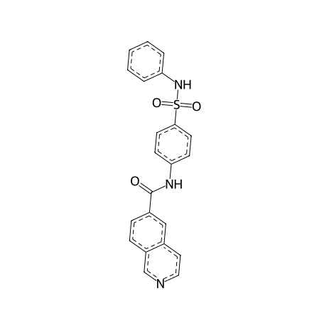 O=C(Nc1ccc(S(=O)(=O)Nc2ccccc2)cc1)c1ccc2cnccc2c1